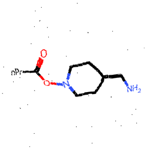 CCCC(=O)ON1CCC(CN)CC1